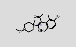 CON1CCC(C)(/C(O)=C(\C(C)=O)c2c(C)ccc(Br)c2C)CC1